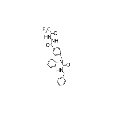 O=C(NNC(=O)C(F)(F)F)c1ccc(CN(C(=O)NCc2ccccc2)c2ccccc2)cc1